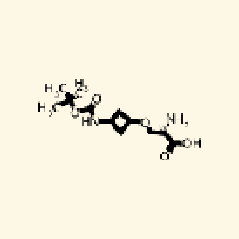 CC(C)(C)OC(=O)NC1CC(OC[C@H](N)C(=O)O)C1